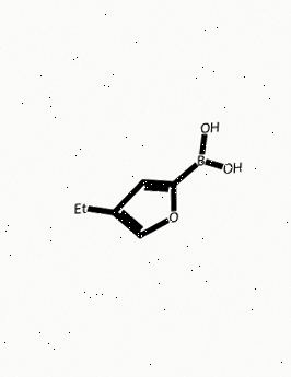 CCc1coc(B(O)O)c1